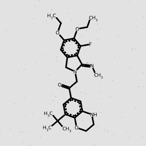 CCOc1cc2c(c(F)c1OCC)/C(=N/C)N(CC(=O)c1cc3c(c(C(C)(C)C)c1)OCCN3)C2